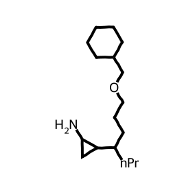 CCCC(CCCOCC1CCCCC1)C1CC1N